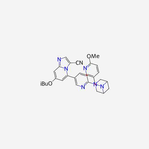 COc1ccc(CN2C3CC2CN(c2ccc(-c4cc(OCC(C)C)cc5ncc(C#N)n45)cn2)C3)cn1